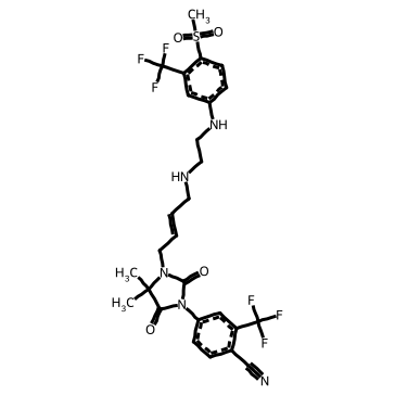 CC1(C)C(=O)N(c2ccc(C#N)c(C(F)(F)F)c2)C(=O)N1CC=CCNCCNc1ccc(S(C)(=O)=O)c(C(F)(F)F)c1